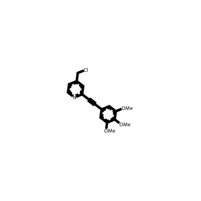 COc1cc(C#Cc2cc(CCl)ccn2)cc(OC)c1OC